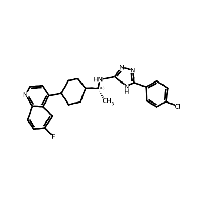 C[C@@H](Nc1nnc(-c2ccc(Cl)cc2)[nH]1)C1CCC(c2ccnc3ccc(F)cc23)CC1